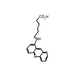 O=C(O)CCCCCNc1cccc2nc3ccccc3cc12